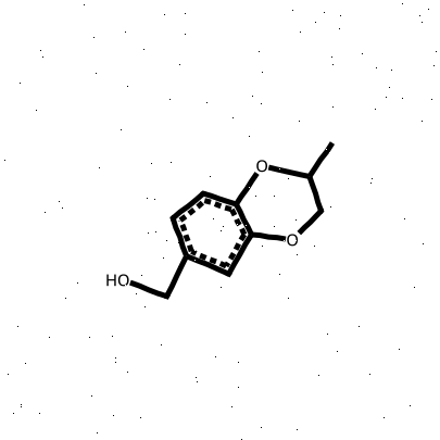 CC1COc2cc(CO)ccc2O1